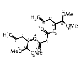 C=CCC(OC(=O)CC(=O)OC(CC=C)C(OC)OC)C(OC)OC